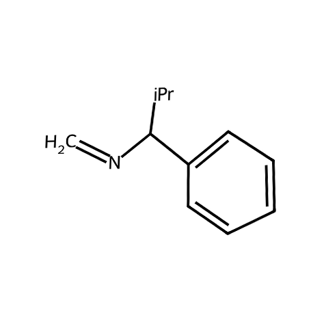 C=NC(c1ccccc1)C(C)C